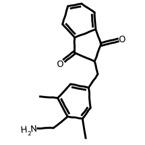 Cc1cc(CC2C(=O)c3ccccc3C2=O)cc(C)c1CN